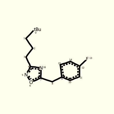 CC(C)(C)CCCc1noc(Cc2ccc(F)cc2)n1